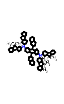 CC1(C)c2ccccc2-c2ccc(N(c3ccc4c(c3)Cc3ccccc3-4)c3ccc4c(-c5ccc6ccccc6c5)c5cc(N(c6ccc7c(c6)C(C)(C)c6ccccc6-7)c6ccc7c(c6)C(C)(C)c6ccccc6-7)ccc5c(-c5ccc6ccccc6c5)c4c3)cc21